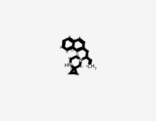 C=CC(Cc1ccc2ccccc2c1)N1CCNC2(CC2)C1